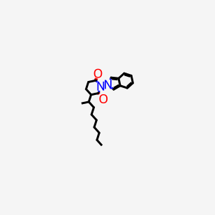 CCCCCCCC(C)C1CCC(=O)N(n2cc3ccccc3c2)C1=O